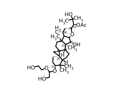 CC(=O)O[C@@H]([C@H]1C[C@@H](C)C2C(O1)[C@H](O)[C@@]1(C)[C@@H]3CC[C@H]4C(C)(C)[C@@H](OC(CO)OCCO)CC[C@@]45C[C@@]35CC[C@]21C)C(C)(C)O